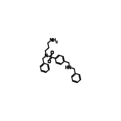 NCCCN(Cc1ccccc1)S(=O)(=O)c1ccc(CNCc2ccccc2)cc1